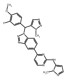 COc1ccc(C(c2cnnn2C)n2nnc3cc(-c4ccnc(Nc5ccnn5C)n4)ccc32)cc1F